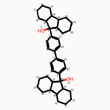 OC1(c2ccc(-c3ccc(C4(O)C5CCCCC5C5CCCCC54)cc3)cc2)C2CCCCC2C2CCCCC21